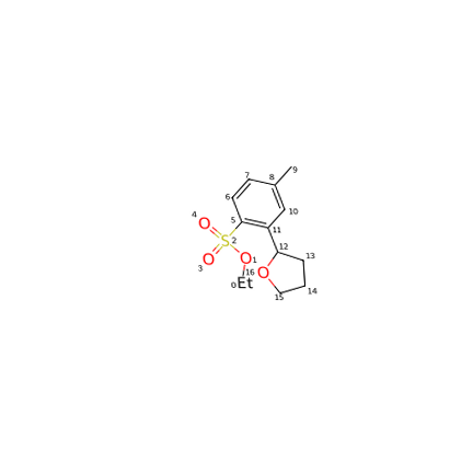 CCOS(=O)(=O)c1ccc(C)cc1C1CCCO1